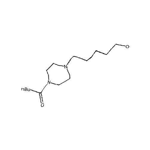 CCCCC(=O)N1CCN(CCCCC[O])CC1